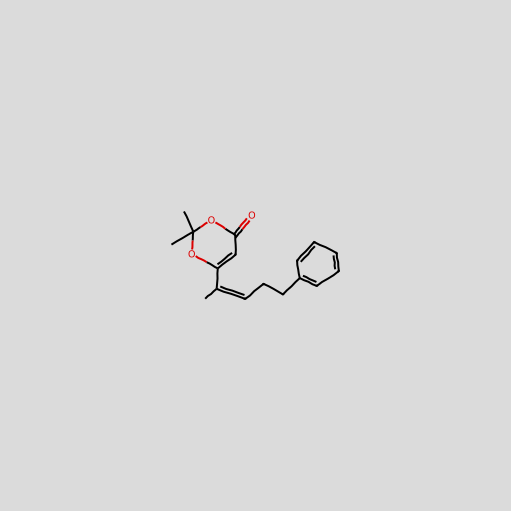 CC(=CCCc1ccccc1)C1=CC(=O)OC(C)(C)O1